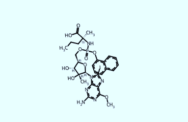 CCC[C@](C)(NP(=O)(OC[C@H]1O[C@@H](n2c(I)nc3c(OC)nc(N)nc32)[C@](C)(O)[C@@H]1O)Oc1cccc2ccccc12)C(=O)O